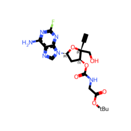 C#C[C@]1(CO)O[C@@H](n2cnc3c(N)nc(F)nc32)C[C@@H]1OC(=O)NCC(=O)OC(C)(C)C